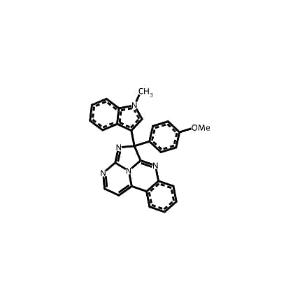 COc1ccc(C2(c3cn(C)c4ccccc34)N=C3N=CC=C4c5ccccc5N=C2N43)cc1